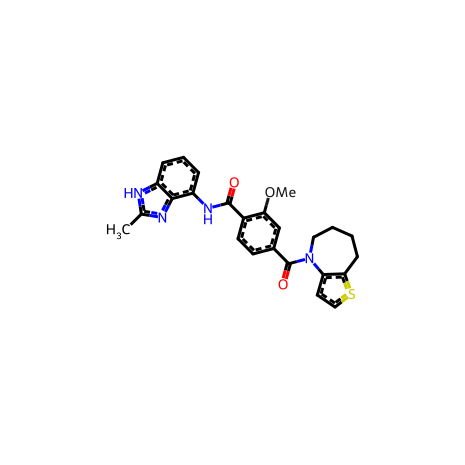 COc1cc(C(=O)N2CCCCc3sccc32)ccc1C(=O)Nc1cccc2[nH]c(C)nc12